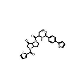 CC(C)CC(NC(=O)c1ccc(-c2cccs2)cc1)C(=O)N1CCC2C1C(=O)CN2C(=O)c1cccs1